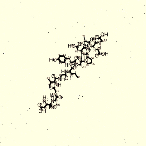 CC[C@H](C)[C@H](NC(=O)CNC(=O)[C@@H](NC(=O)CNC(=O)[C@H](CO)NC(=O)[C@@H](N)CC(=O)O)C(C)C)C(=O)N[C@@H](Cc1ccc(O)cc1)C(=O)N[C@@H](C)C(=O)N1CCC[C@H]1C(=O)N[C@@H](CC(=O)O)C(=O)N[C@@H](C)C(=O)N[C@@H](CCC(=O)O)C(=O)N[C@@H](C)C(=O)O